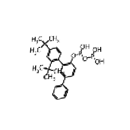 CC(C)(C)c1ccc(-c2cc(-c3ccccc3)ccc2OP(O)OP(O)O)c(C(C)(C)C)c1